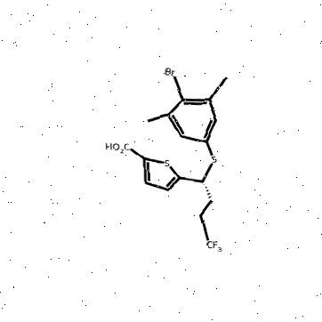 Cc1cc(S[C@H](CCC(F)(F)F)c2ccc(C(=O)O)s2)cc(C)c1Br